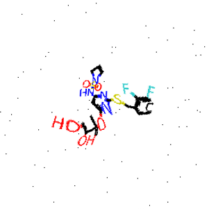 CC(C)(Oc1cc(NS(=O)(=O)N2CCC2)nc(SCc2cccc(F)c2F)n1)[C@@H](O)CO